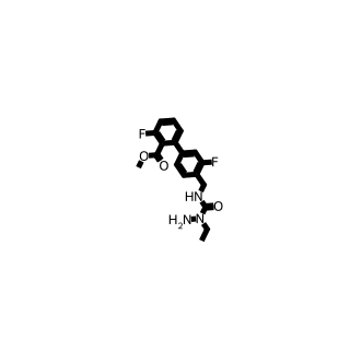 CCN(N)C(=O)NCc1ccc(-c2cccc(F)c2C(=O)OC)cc1F